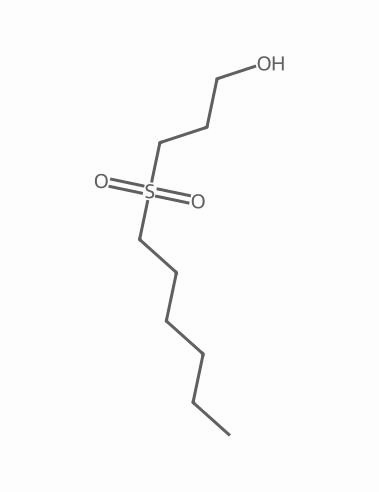 CCCCCCS(=O)(=O)CCCO